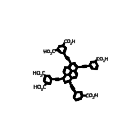 O=C(O)c1cccc(C#Cc2cc(C#Cc3cc(C(=O)O)cc(C(=O)O)c3)c3ccc4c(C#Cc5cc(C(=O)O)cc(C(=O)O)c5)cc(C#Cc5cccc(C(=O)O)c5)c5ccc2c3c54)c1